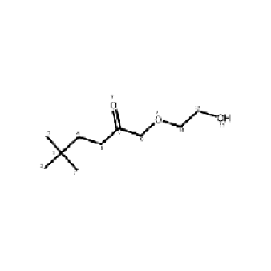 CC(C)(C)CCC(=O)COCCO